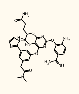 CN(C)C(=O)Cc1cc(Oc2nc(Oc3cc(C(=N)N)ccc3N)nc3c2NC(=O)C(CCC(N)=O)O3)cc(-c2ncc[nH]2)c1